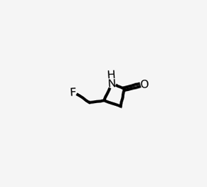 O=C1CC(CF)N1